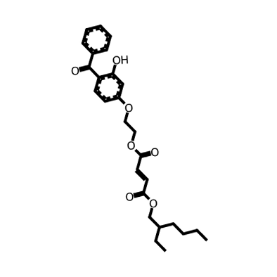 CCCCC(CC)COC(=O)C=CC(=O)OCCOc1ccc(C(=O)c2ccccc2)c(O)c1